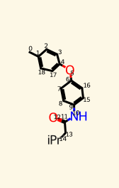 Cc1ccc(Oc2ccc(NC(=O)CC(C)C)cc2)cc1